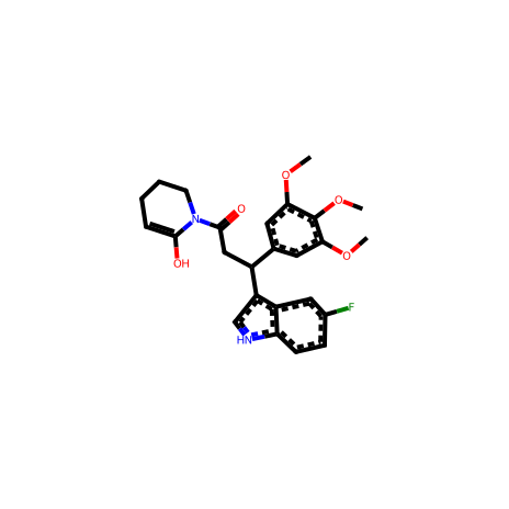 COc1cc(C(CC(=O)N2CCCC=C2O)c2c[nH]c3ccc(F)cc23)cc(OC)c1OC